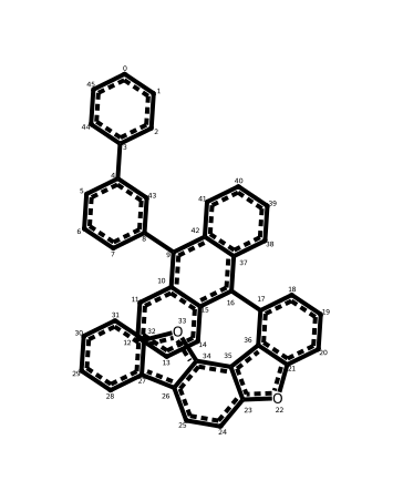 c1ccc(-c2cccc(-c3c4ccccc4c(-c4cccc5oc6ccc7c8ccccc8oc7c6c45)c4ccccc34)c2)cc1